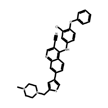 CN1CCN(Cc2cc(-c3ccc4c(Nc5ccc(Oc6ccccc6)c(Cl)c5)c(C#N)cnc4c3)cs2)CC1